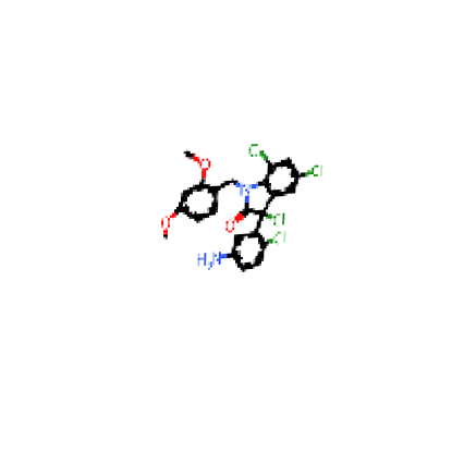 COc1ccc(CN2C(=O)C(Cl)(c3cc(N)ccc3Cl)c3cc(Cl)cc(Cl)c32)c(OC)c1